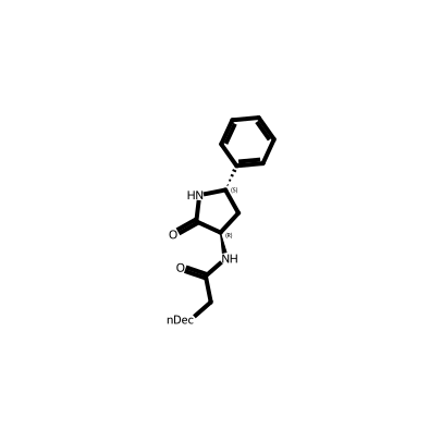 CCCCCCCCCCCC(=O)N[C@@H]1C[C@@H](c2ccccc2)NC1=O